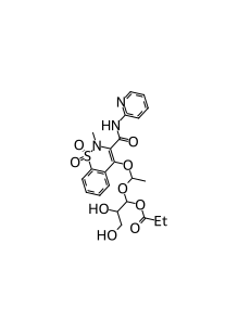 CCC(=O)OC(OC(C)OC1=C(C(=O)Nc2ccccn2)N(C)S(=O)(=O)c2ccccc21)C(O)CO